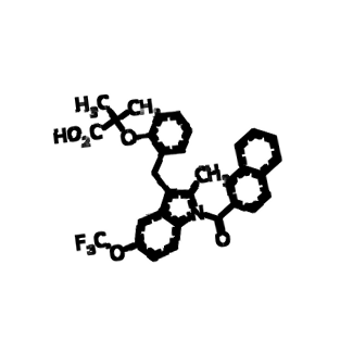 Cc1c(Cc2ccccc2OC(C)(C)C(=O)O)c2cc(OC(F)(F)F)ccc2n1C(=O)c1ccc2ccccc2c1